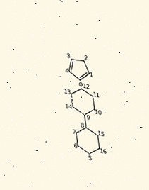 C1=CCC=C1.C1CCC(C2CCCCC2)CC1